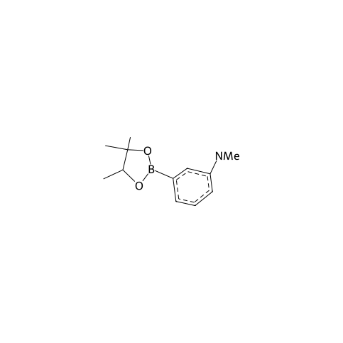 CNc1cccc(B2OC(C)C(C)(C)O2)c1